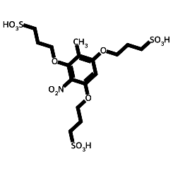 Cc1c(OCCCS(=O)(=O)O)cc(OCCCS(=O)(=O)O)c([N+](=O)[O-])c1OCCCS(=O)(=O)O